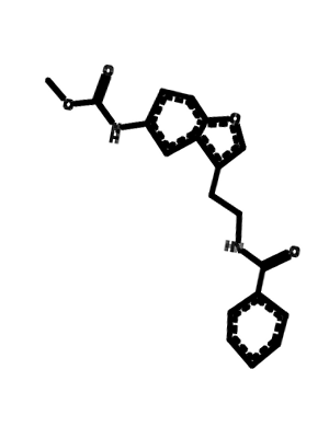 COC(=O)Nc1ccc2occ(CCNC(=O)c3ccccc3)c2c1